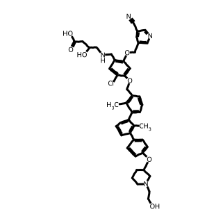 Cc1c(COc2cc(OCc3cncc(C#N)c3)c(CNCC(O)CC(=O)O)cc2Cl)cccc1-c1cccc(-c2ccc(OC3CCCN(CCO)C3)cc2)c1C